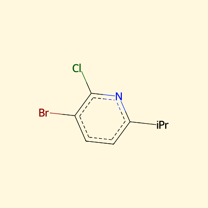 CC(C)c1ccc(Br)c(Cl)n1